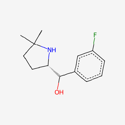 CC1(C)CC[C@@H](C(O)c2cccc(F)c2)N1